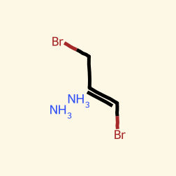 BrC=CCBr.N.N